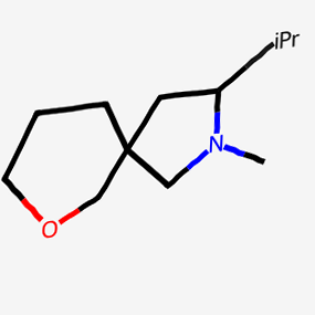 CC(C)C1CC2(CCCOC2)CN1C